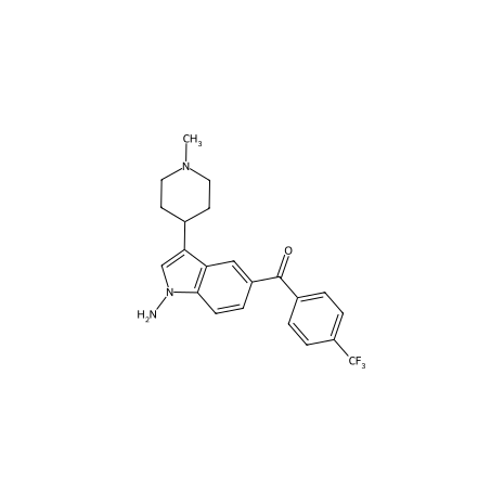 CN1CCC(c2cn(N)c3ccc(C(=O)c4ccc(C(F)(F)F)cc4)cc23)CC1